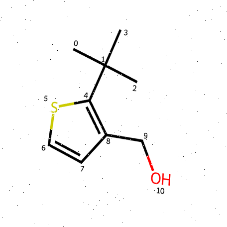 CC(C)(C)c1sccc1CO